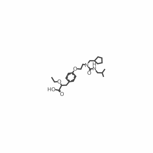 CCOC(Cc1ccc(OCCN(CC2CCCC2)C(=O)NCC(C)C)cc1)C(=O)O